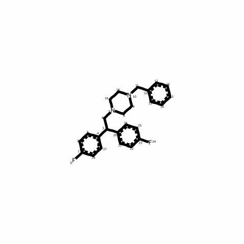 Fc1ccc(C(CN2CCN(Cc3ccccc3)CC2)c2ccc(F)cc2)cc1